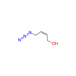 [N-]=[N+]=NC/C=C\CO